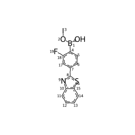 OB(OI)c1ccc(-c2nc3ccccc3s2)cc1F